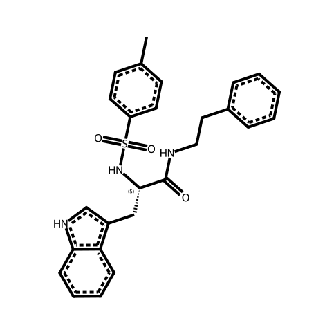 Cc1ccc(S(=O)(=O)N[C@@H](Cc2c[nH]c3ccccc23)C(=O)NCCc2ccccc2)cc1